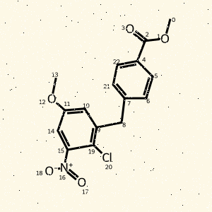 COC(=O)c1ccc(Cc2cc(OC)cc([N+](=O)[O-])c2Cl)cc1